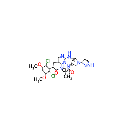 C=CC(=O)N[C@H]1CN(c2cc[nH]n2)C[C@H]1Nc1ncc2cc(-c3c(Cl)c(OC)cc(OC)c3Cl)c(=O)n(C)c2n1